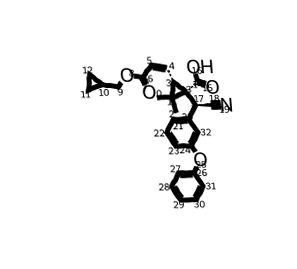 CC1(C)[C@H](/C=C\C(=O)OCC2CC2)[C@@]1(C(=O)O)[C@@H](C#N)c1cccc(Oc2ccccc2)c1